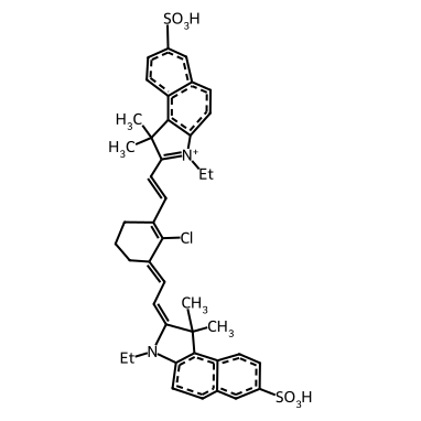 CCN1/C(=C/C=C2\CCCC(/C=C/C3=[N+](CC)c4ccc5cc(S(=O)(=O)O)ccc5c4C3(C)C)=C2Cl)C(C)(C)c2c1ccc1cc(S(=O)(=O)O)ccc21